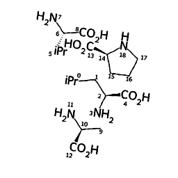 CC(C)C[C@H](N)C(=O)O.CC(C)[C@H](N)C(=O)O.C[C@H](N)C(=O)O.O=C(O)[C@@H]1CCCN1